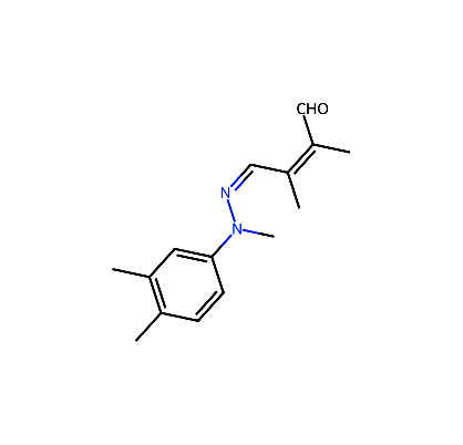 C/C(C=O)=C(C)/C=N\N(C)c1ccc(C)c(C)c1